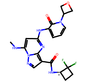 CNc1cc(Nc2cccn(C3COC3)c2=O)nc2c(C(=O)N[C@@H]3CCC3(F)F)cnn12